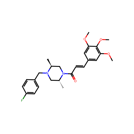 COc1cc(/C=C/C(=O)N2C[C@H](C)N(Cc3ccc(F)cc3)C[C@H]2C)cc(OC)c1OC